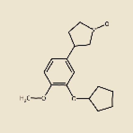 COc1ccc(C2CC[S+]([O-])C2)cc1OC1CCCC1